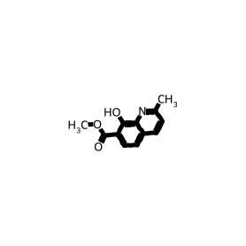 COC(=O)c1ccc2ccc(C)nc2c1O